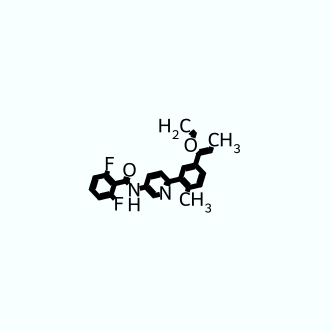 C=CO/C(=C\C)c1ccc(C)c(-c2ccc(NC(=O)c3c(F)cccc3F)cn2)c1